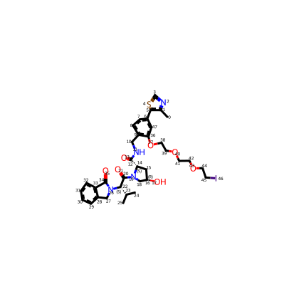 Cc1ncsc1-c1ccc(CNC(=O)[C@@H]2C[C@@H](O)CN2C(=O)[C@H](C(C)C)N2Cc3ccccc3C2=O)c(OCCOCCOCCI)c1